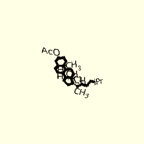 CC(=O)OC1CC[C@@]2(C)C(=CC[C@@H]3[C@@H]2CC[C@]2(C)[C@@H](C(C)CCCC(C)C)CC[C@@]32C)C1